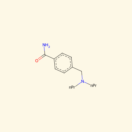 CCCN(CCC)Cc1ccc(C(N)=O)cc1